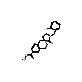 O=C(NO)c1ccc2c(c1)CC[C@]1(CCN(Cc3ccccc3Cl)C1=O)C2